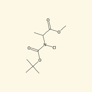 COC(=O)C(C)N(Cl)C(=O)OC(C)(C)C